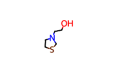 OCCN1CCSC1